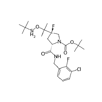 CC(C)(C)OC(=O)N1C[C@@](F)(C(C)(C)O[SiH2]C(C)(C)C)C[C@H]1C(=O)NCc1cccc(Cl)c1F